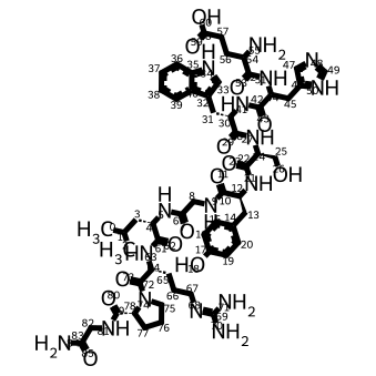 CC(C)C[C@H](NC(=O)CNC(=O)[C@H](Cc1ccc(O)cc1)NC(=O)[C@H](CO)NC(=O)[C@H](Cc1c[nH]c2ccccc12)NC(=O)C(Cc1cnc[nH]1)NC(=O)C(N)CCC(=O)O)C(=O)N[C@H](CCCN=C(N)N)C(=O)N1CCC[C@@H]1C(=O)NCC(N)=O